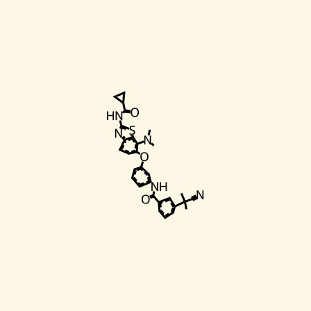 CN(C)c1c(Oc2cccc(NC(=O)c3cccc(C(C)(C)C#N)c3)c2)ccc2nc(NC(=O)C3CC3)sc12